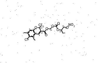 Cc1cc2c(c(C)c1Cl)C=C(C(=O)OCOC(=O)OC(C)CO[N+](=O)[O-])C(C(F)(F)F)O2